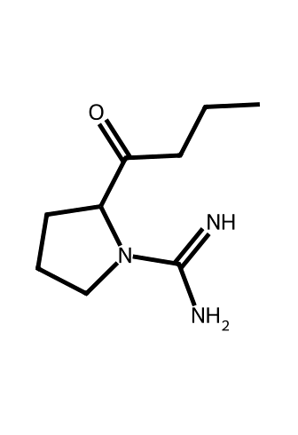 CCCC(=O)C1CCCN1C(=N)N